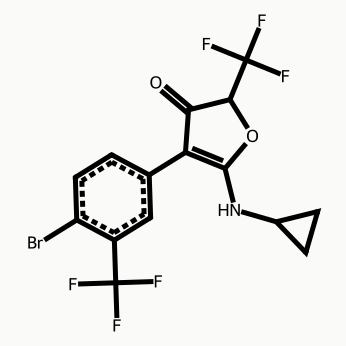 O=C1C(c2ccc(Br)c(C(F)(F)F)c2)=C(NC2CC2)OC1C(F)(F)F